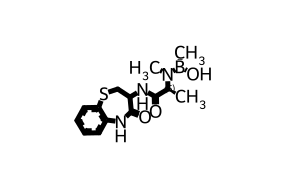 CB(O)N(C)[C@@H](C)C(=O)NC1CSc2ccccc2NC1=O